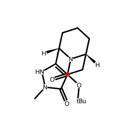 Cn1[nH]c2c(c1=O)C[C@H]1CCC[C@@H]2N1C(=O)OC(C)(C)C